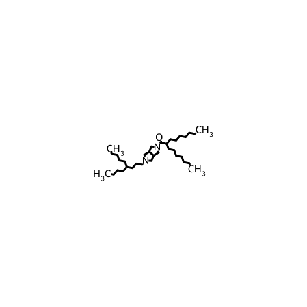 CCCCCCCC(CCCCCCC)C(=O)N1CC2CN(CCCC(CCCC)CCCCC)CC2C1